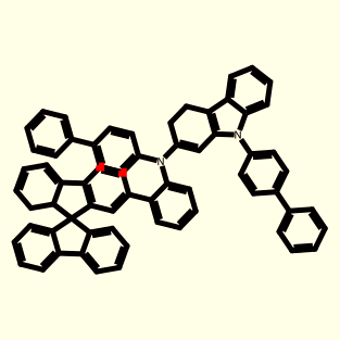 C1=CCC2C(=C1)c1ccc(-c3ccccc3N(C3=Cc4c(c5ccccc5n4-c4ccc(-c5ccccc5)cc4)CC3)c3ccc(-c4ccccc4)cc3)cc1C21c2ccccc2-c2ccccc21